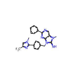 Cn1cc(C(F)(F)F)nc1-c1ccc(Cn2c(=N)n(C)c3cnc(-c4ccccc4)nc32)cc1